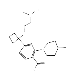 CC1CCN(c2cc(C3(OCCN(C)C)CCC3)ccc2C(N)=O)CC1